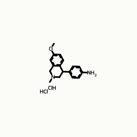 COc1ccc2c(c1)CN(C)CC2c1ccc(N)cc1.Cl.Cl